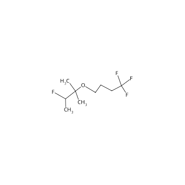 CC(F)C(C)(C)OCCCC(F)(F)F